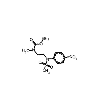 CCCCOC(=O)N(C)CCN(c1ccc([N+](=O)[O-])cc1)S(C)(=O)=O